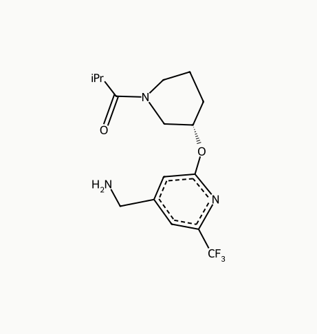 CC(C)C(=O)N1CCC[C@H](Oc2cc(CN)cc(C(F)(F)F)n2)C1